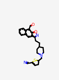 N#CC1=CCC(CN2CCC(CCc3noc4c(C=O)c5ccccc5cc34)CC2)S1